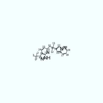 CC(C)(C)c1n[nH]c2nc(CC(C)(C)c3cc4cccnn4c3)ccc12